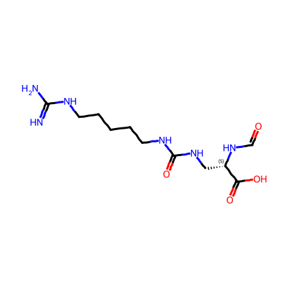 N=C(N)NCCCCCNC(=O)NC[C@H](NC=O)C(=O)O